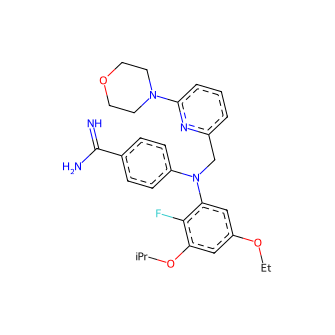 CCOc1cc(OC(C)C)c(F)c(N(Cc2cccc(N3CCOCC3)n2)c2ccc(C(=N)N)cc2)c1